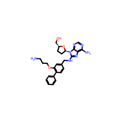 NCCCOc1cc(CNc2nc3c(N)ncnc3n2[C@H]2CC[C@@H](CO)O2)ccc1-c1ccccc1